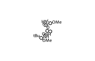 COc1cccc(C(C)Nc2nccc(Oc3ccc(NC(=O)Nc4cc(C(C)(C)C)ccc4OC)c4ccccc34)n2)c1